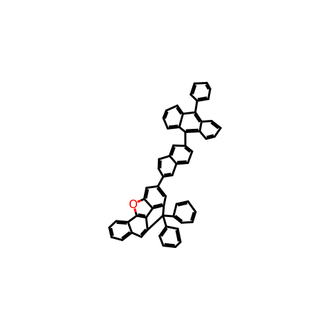 c1ccc(-c2c3ccccc3c(-c3ccc4cc(-c5cc6c7c(c5)oc5c8ccccc8cc(c57)C6(c5ccccc5)c5ccccc5)ccc4c3)c3ccccc23)cc1